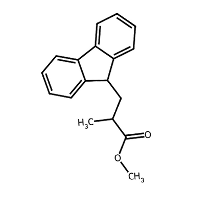 COC(=O)C(C)CC1c2ccccc2-c2ccccc21